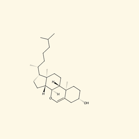 CC(C)CCC[C@@H](C)[C@H]1CC[C@H]2[C@@H]3OC=C4C[C@@H](O)CC[C@]4(C)[C@H]3CC[C@]12C